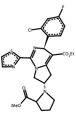 CCOC(=O)C1=C2C[C@H](N3CCCC3C(=O)OC)CN2C(c2nccs2)=N[C@H]1c1ccc(F)cc1Cl